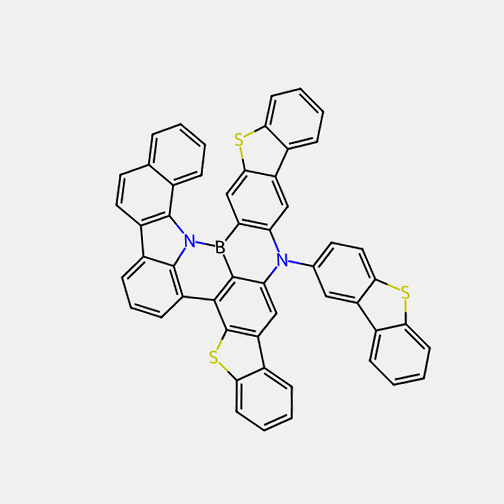 c1ccc2c(c1)ccc1c3cccc4c3n(c21)B1c2cc3sc5ccccc5c3cc2N(c2ccc3sc5ccccc5c3c2)c2cc3c(sc5ccccc53)c-4c21